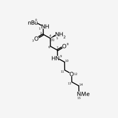 CCCCNC(=O)[C@@H](N)CC(=O)NCCOCCNC